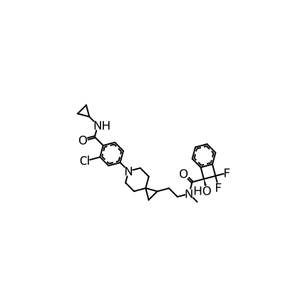 CN(CCC1CC12CCN(c1ccc(C(=O)NC3CC3)c(Cl)c1)CC2)C(=O)[C@]1(O)c2ccccc2C1(F)F